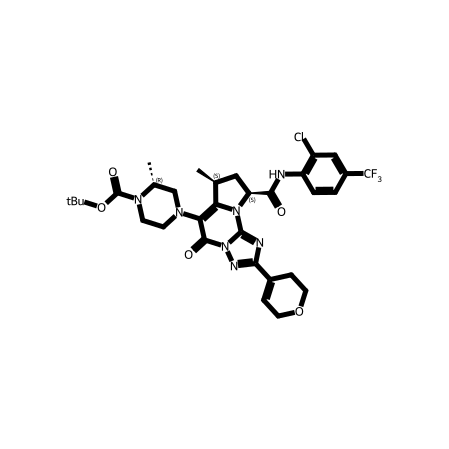 C[C@@H]1CN(c2c3n(c4nc(C5=CCOCC5)nn4c2=O)[C@H](C(=O)Nc2ccc(C(F)(F)F)cc2Cl)C[C@@H]3C)CCN1C(=O)OC(C)(C)C